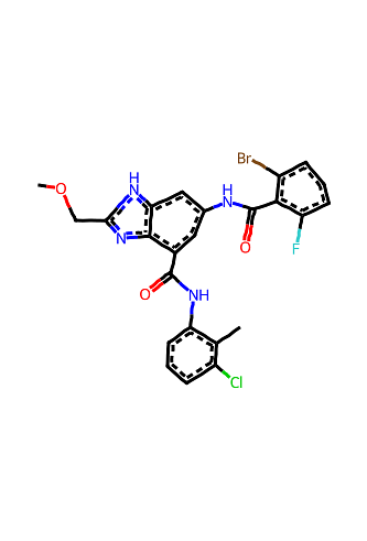 COCc1nc2c(C(=O)Nc3cccc(Cl)c3C)cc(NC(=O)c3c(F)cccc3Br)cc2[nH]1